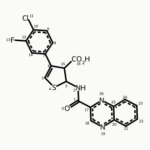 O=C(NC1SC=C(c2ccc(Cl)c(F)c2)C1C(=O)O)c1cnc2ccccc2n1